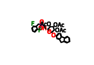 CC(=O)O[C@@H]1[C@H](OC(C)=O)[C@@H](Oc2ccc3c(c2)Cc2ccccc2-3)O[C@H](CCP(=O)(O)Cc2c(F)cccc2F)[C@H]1OC(C)=O